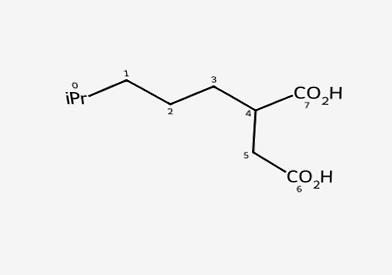 CC(C)CCCC(CC(=O)O)C(=O)O